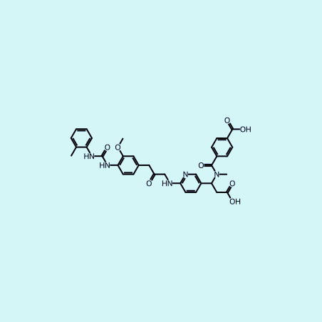 COc1cc(CC(=O)CNc2ccc(C(CC(=O)O)N(C)C(=O)c3ccc(C(=O)O)cc3)cn2)ccc1NC(=O)Nc1ccccc1C